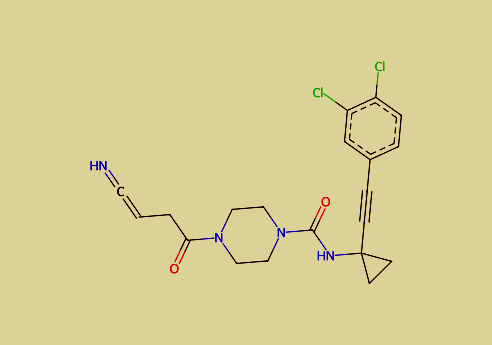 N=C=CCC(=O)N1CCN(C(=O)NC2(C#Cc3ccc(Cl)c(Cl)c3)CC2)CC1